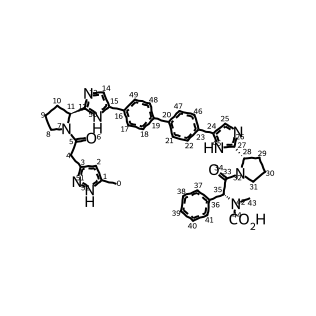 Cc1cc(CC(=O)N2CCC[C@H]2c2ncc(-c3ccc(-c4ccc(-c5cnc([C@@H]6CCCN6C(=O)[C@@H](c6ccccc6)N(C)C(=O)O)[nH]5)cc4)cc3)[nH]2)n[nH]1